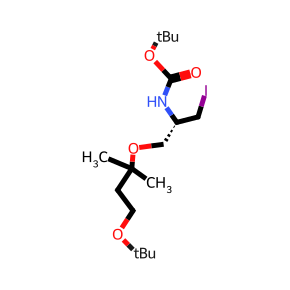 CC(C)(C)OCCC(C)(C)OC[C@@H](CI)NC(=O)OC(C)(C)C